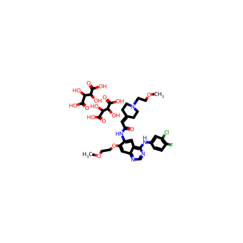 COCCOc1cc2ncnc(Nc3ccc(F)c(Cl)c3)c2cc1NC(=O)C=C1CCN(CCOC)CC1.O=C(O)C(O)C(O)C(=O)O.O=C(O)C(O)C(O)C(=O)O